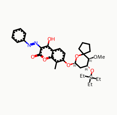 CC[Si](CC)(CC)O[C@@H]1C[C@@H](Oc2ccc3c(O)c(N=Nc4ccccc4)c(=O)oc3c2C)OC2(CCCC2)[C@H]1OC